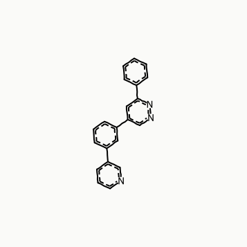 c1ccc(-c2cc(-c3cccc(-c4cccnc4)c3)cnn2)cc1